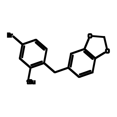 CC(C)(C)c1cc(Br)ccc1Cc1ccc2c(c1)OCO2